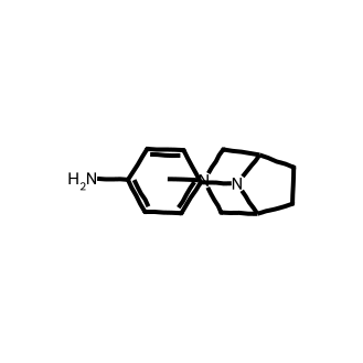 CN1CC2CCC(C1)N2c1ccc(N)cc1